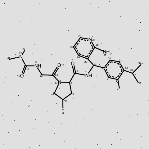 Cc1cc(C(NC(=O)C2CC(F)CN2C(=O)CNC(=O)N(C)C)c2cccnc2N)ccc1C(C)C